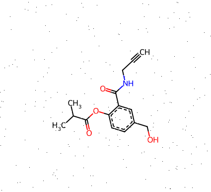 C#CCNC(=O)c1cc(CO)ccc1OC(=O)C(C)C